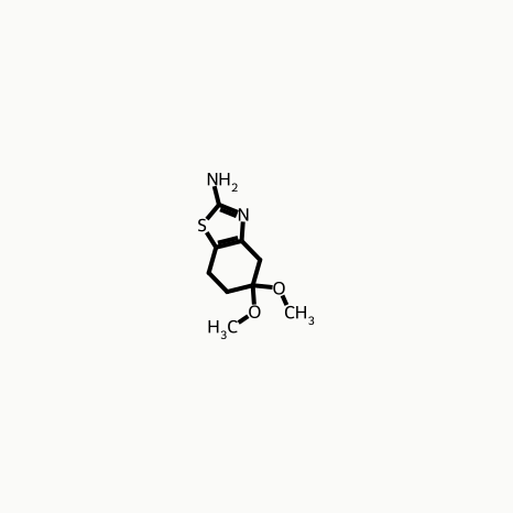 COC1(OC)CCc2sc(N)nc2C1